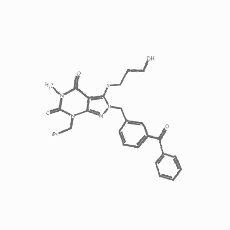 CC(C)Cn1c(=O)n(C)c(=O)c2c(SCCCO)n(Cc3cccc(C(=O)c4ccccc4)c3)nc21